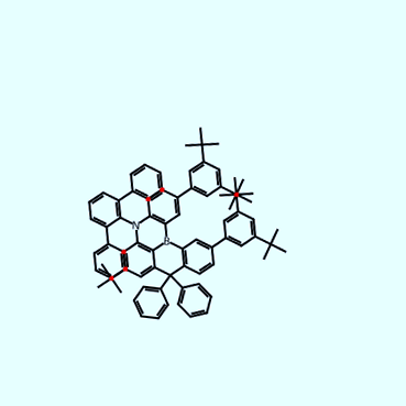 CC(C)(C)c1cc(-c2ccc3c(c2)B2c4cc(-c5cc(C(C)(C)C)cc(C(C)(C)C)c5)ccc4C(c4ccccc4)(c4ccccc4)c4cc(C(C)(C)C)cc(c42)N3c2c(-c3ccccc3)cccc2-c2ccccc2)cc(C(C)(C)C)c1